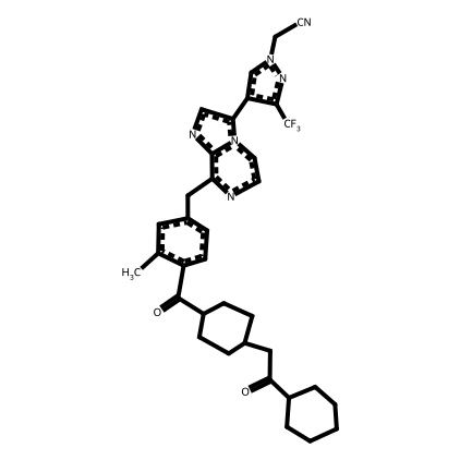 Cc1cc(Cc2nccn3c(-c4cn(CC#N)nc4C(F)(F)F)cnc23)ccc1C(=O)C1CCC(CC(=O)C2CCCCC2)CC1